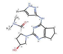 CC(C)c1cc(Nc2nc(N3C[C@@H](O)C[C@@H]3C(=O)N(C)C)nc3c2CCC3)n[nH]1